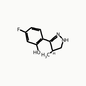 C[C@@H]1CNN=C1c1ccc(F)cc1O